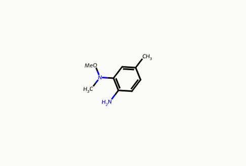 CON(C)c1cc(C)ccc1N